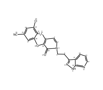 Cc1ccn(CCc2n[nH]c3ncccc23)c(=O)c1Oc1cc(Cl)cc(C#N)c1